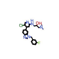 CN(C)CC(O)CNc1cc(-c2ccc3ncn(Cc4cccc(F)c4)c3c2)c(Cl)cn1